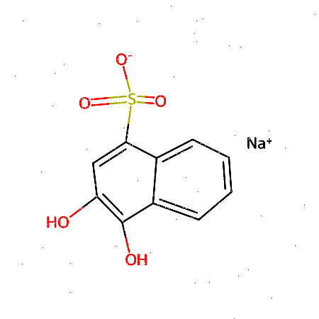 O=S(=O)([O-])c1cc(O)c(O)c2ccccc12.[Na+]